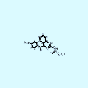 COc1ccc(N(C)c2nc(N[C@@H](C)C(=O)O)nc3ccccc23)cc1